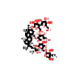 C[C@@H]1[C@@H](O)[C@H](OC[C@H]2O[C@@H](O[C@H](CC[C@@H](C)C3CC[C@@]4(C)C5CC=C6C(CC[C@H](O[C@@H]7O[C@H](CO)C([C@@H]8O[C@H](CO)[C@@H](O)[C@H](O)[C@H]8O)[C@H](O)[C@H]7O)C6(C)C)[C@]5(C)CC[C@]34C)C(C)(C)O)[C@H](O[C@H]3O[C@@H](CO)[C@H](O)[C@@H](O)[C@@H]3O)[C@@H](O)[C@@H]2O)OC[C@H]1O